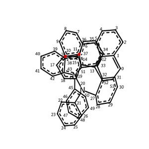 C1=c2cccc(-c3ccccc3)c2=C(c2ccccc2N(c2ccccc2)c2ccccc2-c2cccc3c4ccccc4n(-c4ccccc4)c23)CC1